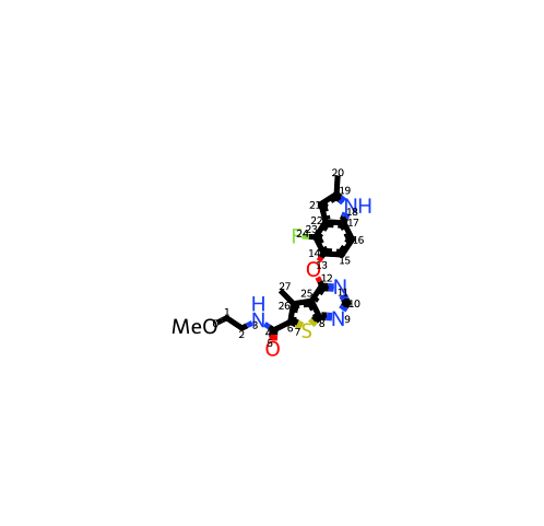 COCCNC(=O)c1sc2ncnc(Oc3ccc4[nH]c(C)cc4c3F)c2c1C